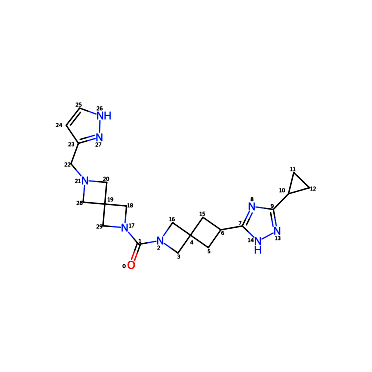 O=C(N1CC2(CC(c3nc(C4CC4)n[nH]3)C2)C1)N1CC2(CN(Cc3cc[nH]n3)C2)C1